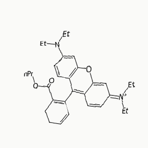 CCCOC(=O)C1=C(c2c3ccc(=[N+](CC)CC)cc-3oc3cc(N(CC)CC)ccc23)C=CCC1